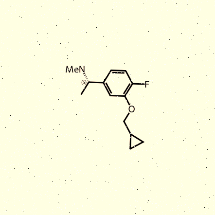 CN[C@@H](C)c1ccc(F)c(OCC2CC2)c1